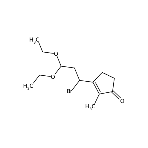 CCOC(CC(Br)C1=C(C)C(=O)CC1)OCC